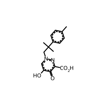 Cc1ccc(C(C)(C)Cn2cc(O)c(=O)c(C(=O)O)n2)cc1